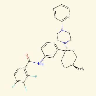 C[C@H]1CC[C@](c2cccc(NC(=O)c3ccc(F)c(F)c3F)c2)(N2CCN(c3ccccc3)CC2)CC1